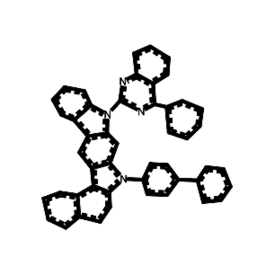 c1ccc(-c2ccc(-n3c4cc5c(cc4c4c6ccccc6ccc43)c3ccccc3n5-c3nc(-c4ccccc4)c4ccccc4n3)cc2)cc1